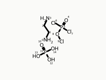 NCCN.O=P(Cl)(Cl)OCl.O=P(O)(O)O